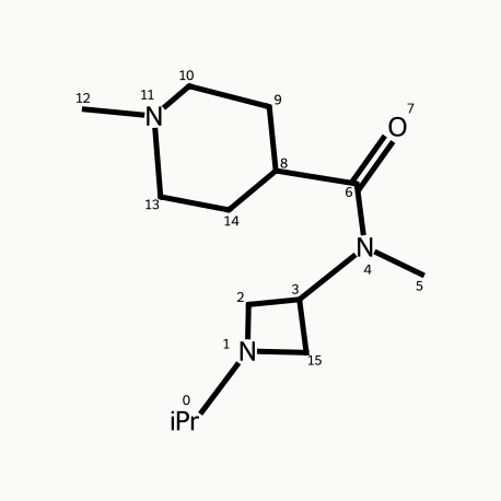 CC(C)N1CC(N(C)C(=O)C2CCN(C)CC2)C1